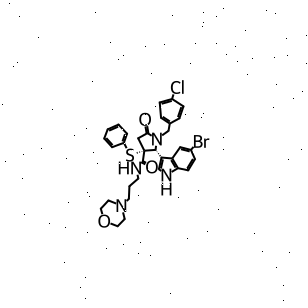 O=C1C[C@](Sc2ccccc2)(C(=O)NCCCN2CCOCC2)[C@@H](c2c[nH]c3ccc(Br)cc23)N1Cc1ccc(Cl)cc1